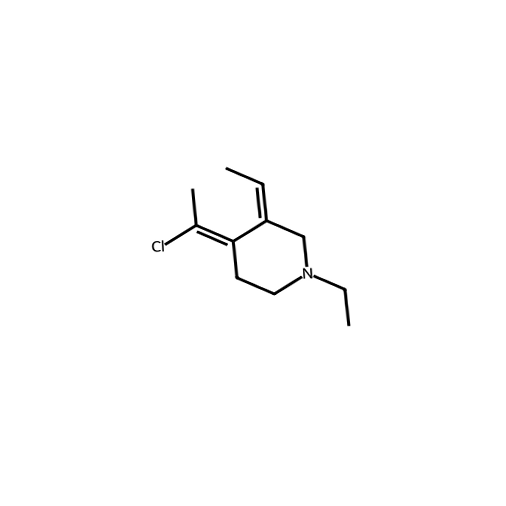 C/C=C1/CN(CC)CC/C1=C(/C)Cl